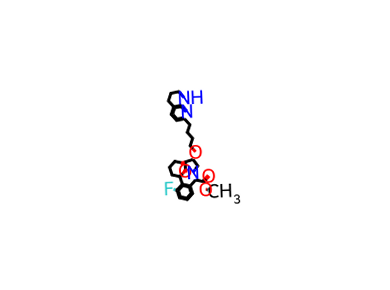 COC(=O)C(c1cccc(F)c1C1CCCCO1)N1CCC(OCCCCc2ccc3c(n2)NCCC3)C1